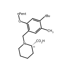 CCCCCOc1cc(C(C)(C)C)c(C)cc1CN1CCCC[C@H]1C(=O)O